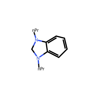 CCCN1CN(CCC)c2ccccc21